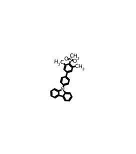 Cc1cc(-c2ccc(-n3c4ccccc4c4ccccc43)cc2)cc(C)c1S(C)(=O)=O